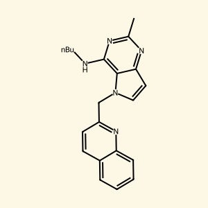 CCCCNc1nc(C)nc2ccn(Cc3ccc4ccccc4n3)c12